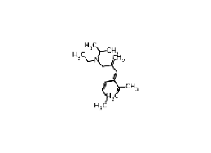 C=C(/C=C(\C=C/CC)C(=C)C)CN(CC)C(C)C